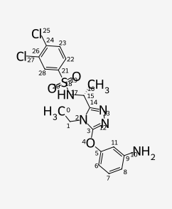 CCn1c(Oc2cccc(N)c2)nnc1[C@@H](C)NS(=O)(=O)c1ccc(Cl)c(Cl)c1